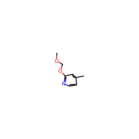 COCOc1cc(C)ccn1